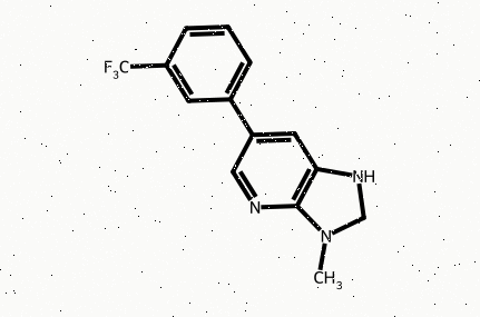 CN1CNc2cc(-c3cccc(C(F)(F)F)c3)cnc21